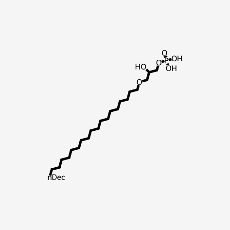 CCCCCCCCCCCCCCCCCCCCCCCCCCCCOCC(O)COP(=O)(O)O